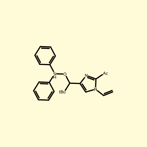 C=Cn1cc(C(O[SiH](c2ccccc2)c2ccccc2)C(C)(C)C)nc1C(C)=O